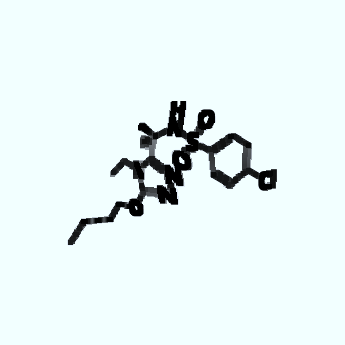 CCCCOc1nnc([C@@H](C)NS(=O)(=O)c2ccc(Cl)cc2)n1CC